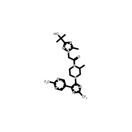 Cc1nc(C(C)(C)O)nn1CC(=O)N1CCN(c2sc(C(F)(F)F)nc2-c2cnc(C(F)(F)F)nc2)CC1C